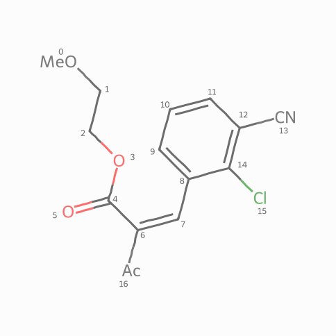 COCCOC(=O)C(=Cc1cccc(C#N)c1Cl)C(C)=O